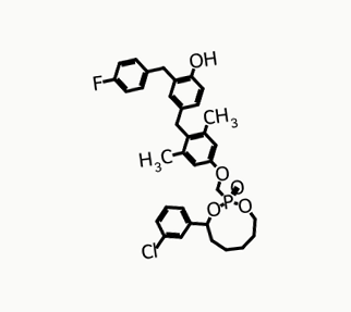 Cc1cc(OCP2(=O)OCCCCCC(c3cccc(Cl)c3)O2)cc(C)c1Cc1ccc(O)c(Cc2ccc(F)cc2)c1